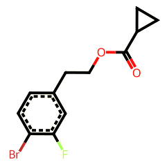 O=C(OCCc1ccc(Br)c(F)c1)C1CC1